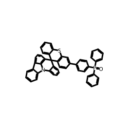 O=P(c1ccccc1)(c1ccccc1)c1ccc(-c2ccc3c(c2)Sc2ccccc2C32c3ccccc3-n3c4ccccc4c4cccc2c43)cc1